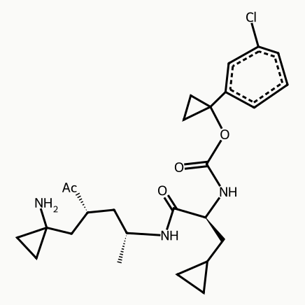 CC(=O)[C@H](C[C@@H](C)NC(=O)[C@H](CC1CC1)NC(=O)OC1(c2cccc(Cl)c2)CC1)CC1(N)CC1